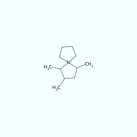 CC1CC(C)[N+]2(CCCC2)C1C